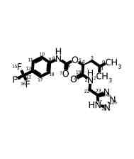 CC(C)C[C@H](OC(=O)Nc1ccc(C(F)(F)F)cc1)C(=O)NCc1nnn[nH]1